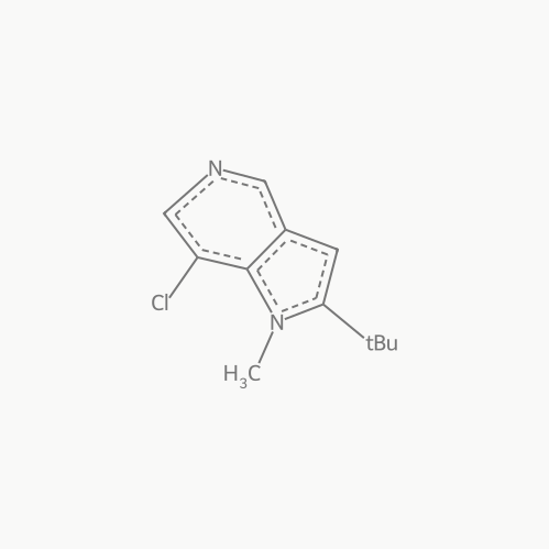 Cn1c(C(C)(C)C)cc2cncc(Cl)c21